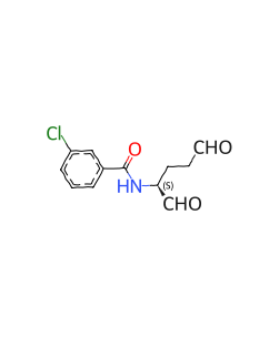 O=CCC[C@@H](C=O)NC(=O)c1cccc(Cl)c1